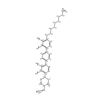 C=CC1OCC(c2ccc(-c3ccc(-c4ccc(CCCCCCCCC)c(F)c4F)cc3)c(F)c2F)CO1